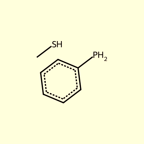 CS.Pc1ccccc1